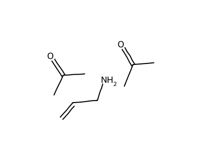 C=CCN.CC(C)=O.CC(C)=O